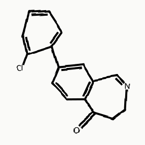 O=C1CCN=Cc2cc(-c3ccccc3Cl)ccc21